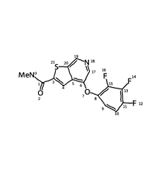 CNC(=O)c1cc2c(Oc3ccc(F)c(F)c3F)cncc2s1